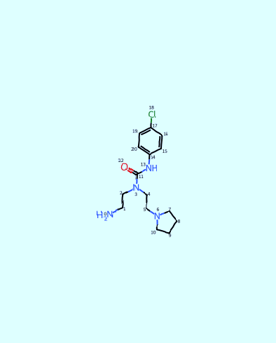 NCCN(CCN1CCCC1)C(=O)Nc1ccc(Cl)cc1